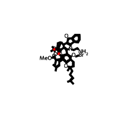 COC(=O)/C(C)=C\CC12OC(C)(C)C3CC(C1=O)C1C4=C(c5ccccc5C4=O)N(CCN)C4=C1C32Oc1c(CC=C(C)C)c2c(c(OCBr)c14)C=CC(C)(CCC=C(C)C)O2